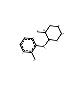 Cc1ccccc1OC1CCCCC1C